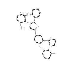 COc1ccccc1-c1nc(-c2cccc(-c3nccn3-c3c(C)cccc3C)c2)cn1-c1c(C(C)C)cccc1C(C)C